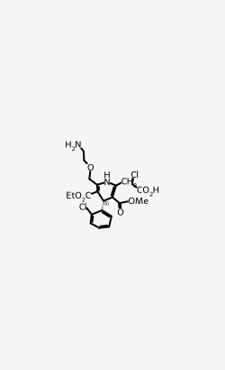 CCOC(=O)C1=C(COCCN)NC(C)=C(C(=O)OC)[C@@H]1c1ccccc1Cl.O=C(O)CCl